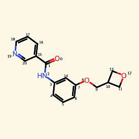 O=C(Nc1cccc(OCC2COC2)c1)c1cccnc1